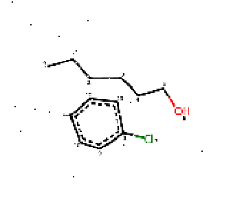 CCCCCCO.Clc1ccccc1